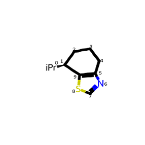 CC(C)[C@H]1CCCc2ncsc21